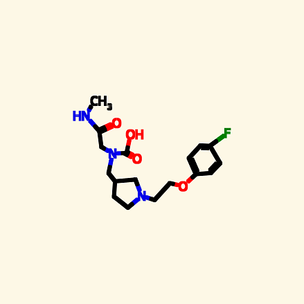 CNC(=O)CN(CC1CCN(CCOc2ccc(F)cc2)C1)C(=O)O